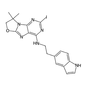 CC1(C)COc2nc3c(NCCc4ccc5[nH]ccc5c4)nc(I)nc3n21